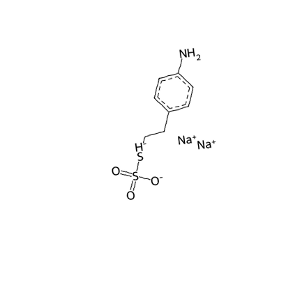 Nc1ccc(CC[SH-]S(=O)(=O)[O-])cc1.[Na+].[Na+]